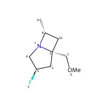 COC[C@]12C[C@@H](F)CN1[C@H](C)C2